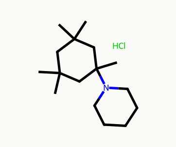 CC1(C)CC(C)(C)CC(C)(N2CCCCC2)C1.Cl